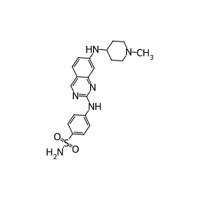 CN1CCC(Nc2ccc3cnc(Nc4ccc(S(N)(=O)=O)cc4)nc3c2)CC1